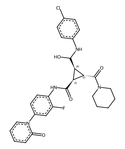 O=C(Nc1ccc(-n2ccccc2=O)cc1F)[C@@H]1[C@@H](C(=O)N2CCCCC2)[C@@H]1C(O)Nc1ccc(Cl)cc1